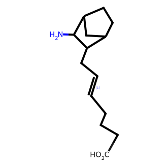 NC1C2CCC(C2)C1C/C=C/CCCC(=O)O